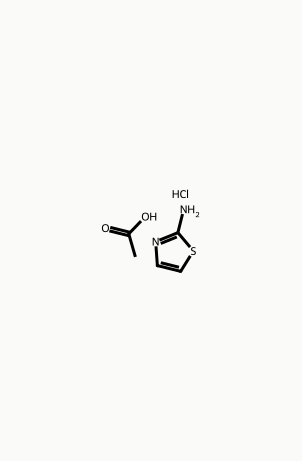 CC(=O)O.Cl.Nc1nccs1